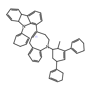 CC1C(C2=CCCC=C2)=CC(C2=CC=CCC2)CC1N1CC/C(c2cccc3c2N(C2=CCCC=C2)C2C=CC=CC32)=C\Cc2ccccc21